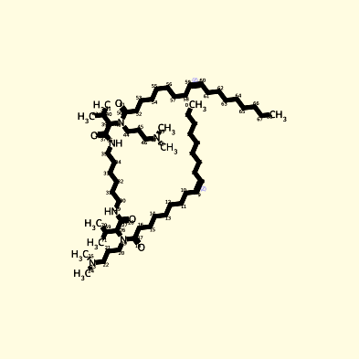 CCCCCCCC/C=C\CCCCCCCC(=O)N(CCCN(C)C)C(C(=O)NCCCCCCNC(=O)C(C(C)C)N(CCCN(C)C)C(=O)CCCCCCC/C=C\CCCCCCCC)C(C)C